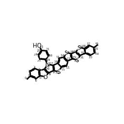 Cc1ccc2c(c1)oc1c3sc4cc5c(cc4c3n(-c3ccc(O)cc3)c21)sc1c5sc2c3ccc(C)cc3sc21